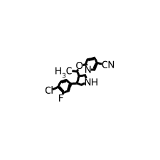 CC(Oc1ccc(C#N)cn1)C1CNCC1c1ccc(Cl)c(F)c1